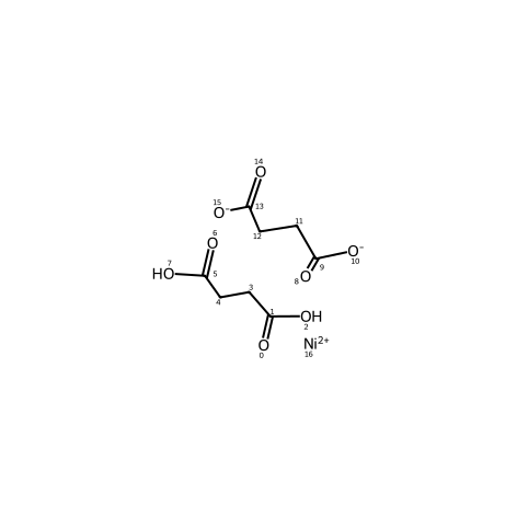 O=C(O)CCC(=O)O.O=C([O-])CCC(=O)[O-].[Ni+2]